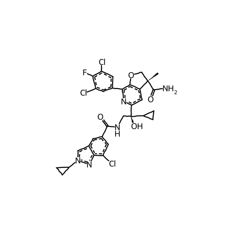 C[C@]1(C(N)=O)COc2c1cc([C@@](O)(CNC(=O)c1cc(Cl)c3nn(C4CC4)cc3c1)C1CC1)nc2-c1cc(Cl)c(F)c(Cl)c1